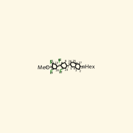 CCCCCCc1ccc2cc(-c3cc(F)c(-c4cc(F)c(OC)c(F)c4)c(F)c3)ccc2c1